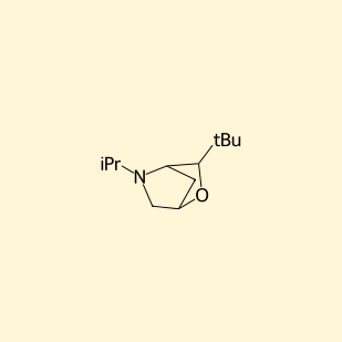 CC(C)N1CC2CC1C(C(C)(C)C)O2